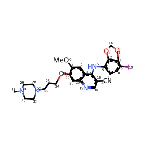 COc1cc2c(Nc3ccc(I)c4c3OCO4)c(C#N)cnc2cc1OCCCN1CCN(C)CC1